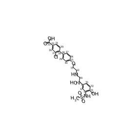 CS(=O)(=O)Nc1cc([C@H](O)CNCCOc2ccc(-c3ccc(C(=O)O)cc3Cl)cc2)ccc1O